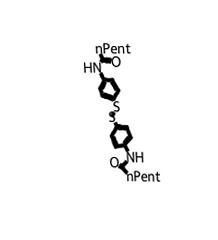 CCCCCC(=O)Nc1ccc(SSc2ccc(NC(=O)CCCCC)cc2)cc1